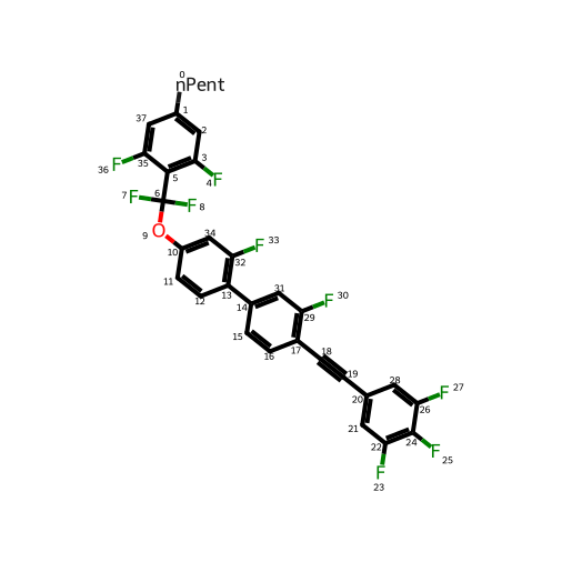 CCCCCc1cc(F)c(C(F)(F)Oc2ccc(-c3ccc(C#Cc4cc(F)c(F)c(F)c4)c(F)c3)c(F)c2)c(F)c1